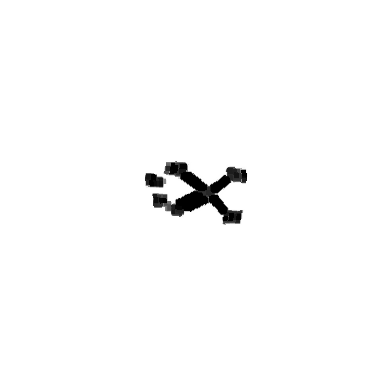 B.O=P(O)(O)O.[Mn]